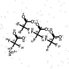 O=C([O-])C(F)(F)F.O=C([O-])C(F)(F)F.O=C([O-])C(F)(F)F.O=C([O-])C(F)(F)F.[Sn+4]